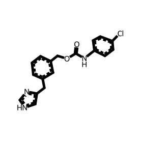 O=C(Nc1ccc(Cl)cc1)OCc1cccc(Cc2c[nH]cn2)c1